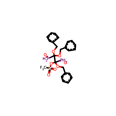 O=[PH2]C(OCc1ccccc1)(OCc1ccccc1)C(OCc1ccccc1)(OS(=O)(=O)C(F)(F)F)[PH2]=O